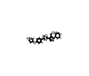 COCc1c(-c2nc(-c3ccc(OC4CCNC4)cc3)no2)cnn1C1CCCCC1